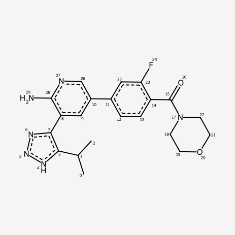 CC(C)c1[nH]nnc1-c1cc(-c2ccc(C(=O)N3CCOCC3)c(F)c2)cnc1N